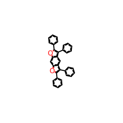 c1ccc(-c2oc3cc4oc(-c5ccccc5)c(-c5ccccc5)c4cc3c2-c2ccccc2)cc1